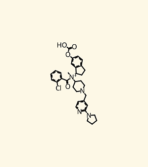 C[N+](C(=O)c1ccccc1Cl)(C1CCN(Cc2ccnc(N3CCCC3)c2)CC1)[C@@H]1CCc2ccc(OC(=O)O)cc21